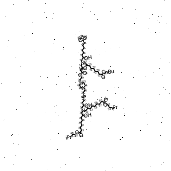 CCCCOC(=O)CCCCCCC(O)CN(CCCC(=O)OCCN1CCN(CCSSCCCCN(CC(O)CCCCCCC(=O)OCCC(C)C)CC(O)CCCCCCC(=O)OCCC(C)C)CC1)CC(O)CCCCCCC(=O)OCCCC